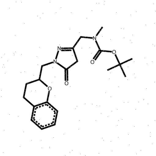 CN(CC1=NN(CC2CCc3ccccc3O2)C(=O)C1)C(=O)OC(C)(C)C